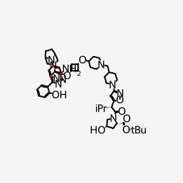 CC(C)[C@@H](C(=O)N1C[C@H](O)C[C@H]1C(=O)OC(C)(C)C)c1cc(N2CCC(CN3CCC(O[C@H]4C[C@H](Oc5cc(N6C7CCC6CN(c6cc(-c8ccccc8O)nnc6N)C7)ccn5)C4)CC3)CC2)no1